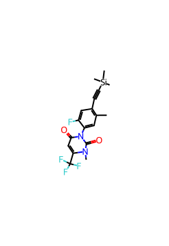 Cc1cc(-n2c(=O)cc(C(F)(F)F)n(C)c2=O)c(F)cc1C#C[Si](C)(C)C